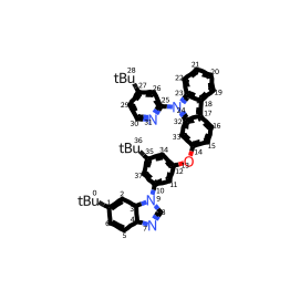 CC(C)(C)C1=CC2C(C=C1)N=CN2c1cc(Oc2ccc3c4ccccc4n(-c4cc(C(C)(C)C)ccn4)c3c2)cc(C(C)(C)C)c1